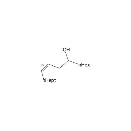 CCCCCCC/C=C\CC(O)CCCCCC